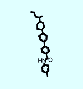 CCCC(C)C1CCC(c2ccc(-c3ccc(C(=O)Nc4ccc(C)cc4)cc3)cc2)CC1